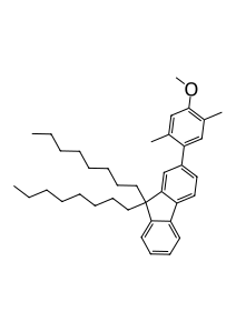 CCCCCCCCC1(CCCCCCCC)c2ccccc2-c2ccc(-c3cc(C)c(OC)cc3C)cc21